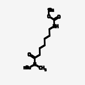 CCCCN(C)C(=O)CCCCCCNC(=O)OC(C)(C)C